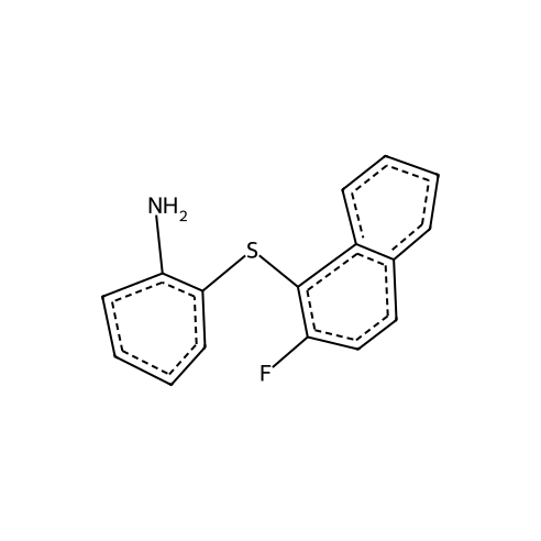 Nc1ccccc1Sc1c(F)ccc2ccccc12